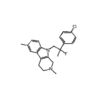 Cc1ccc2c(c1)c1c(n2CC(C)(F)c2ccc(Cl)cc2)CN(C)CC1